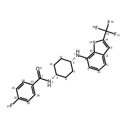 O=C(N[C@H]1CC[C@@H](Nc2cccc3cc(C(F)(F)F)sc23)CC1)c1ccc(F)cc1